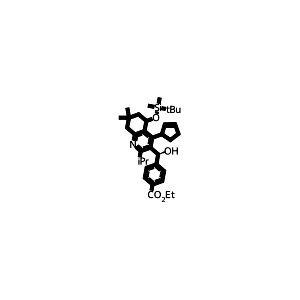 CCOC(=O)c1ccc([C@@H](O)c2c(C(C)C)nc3c(c2C2C=CCC2)C(O[Si](C)(C)C(C)(C)C)CC(C)(C)C3)cc1